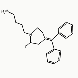 NCCCCN1CCC(=C(c2ccccc2)c2ccccc2)CC1I